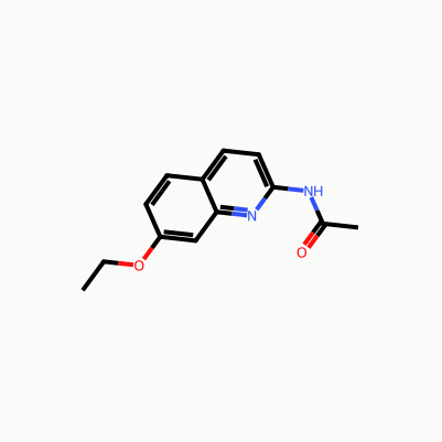 CCOc1ccc2ccc(NC(C)=O)nc2c1